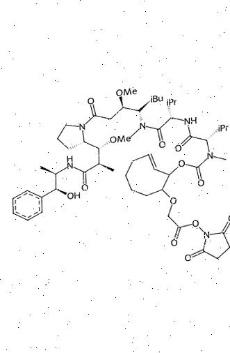 CC[C@H](C)[C@@H]([C@@H](CC(=O)N1CCC[C@H]1[C@H](OC)[C@@H](C)C(=O)N[C@H](C)[C@@H](O)c1ccccc1)OC)N(C)C(=O)[C@@H](NC(=O)[C@H](C(C)C)N(C)C(=O)OC1/C=C/CCCCC1OCC(=O)ON1C(=O)CCC1=O)C(C)C